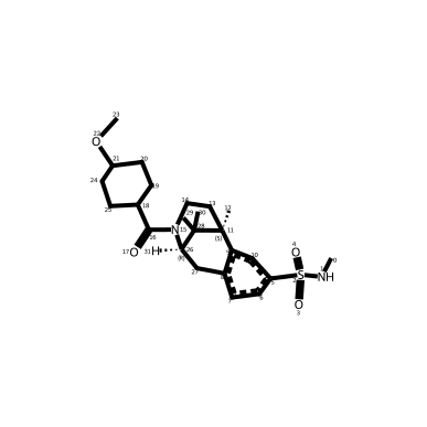 CNS(=O)(=O)c1ccc2c(c1)[C@]1(C)CCN(C(=O)C3CCC(OC)CC3)[C@H](C2)C1(C)C